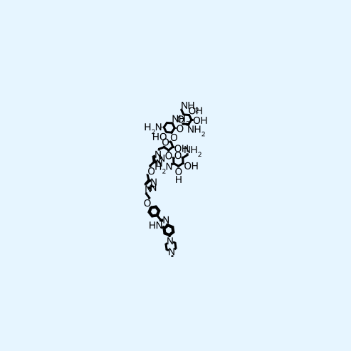 CN1CCN(c2ccc3nc(-c4ccc(OCCn5cc(COCc6cn(CC7OC(OC8C(O)[C@H](N)CC(N)[C@H]8O[C@H]8OC(CN)[C@@H](O)C(O)C8N)C(O)C7O[C@H]7OC(CN)[C@@H](O)C(O)C7N)nn6)nn5)cc4)[nH]c3c2)CC1